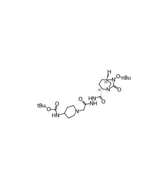 CCCCON1C(=O)N2C[C@@H]1CC[C@H]2C(=O)NNC(=O)CN1CCC(NC(=O)OC(C)(C)C)CC1